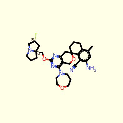 Cc1cc(N)c(C#N)c2c1CCCC21Cc2nc(OC[C@@]34CCCN3C[C@H](F)C4)nc(N3CCCOCC3)c2CO1